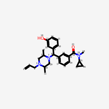 C=CCN1CC(C)N(C(c2cccc(O)c2)c2cccc(C(=O)N(C)C3CC3)c2)CC1C